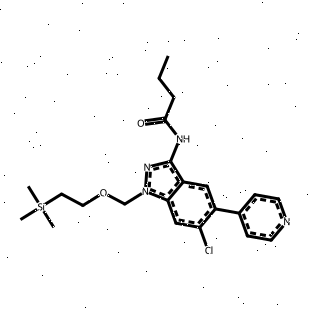 CCCC(=O)Nc1nn(COCC[Si](C)(C)C)c2cc(Cl)c(-c3ccncc3)cc12